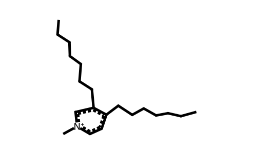 CCCCCCCc1cc[n+](C)cc1CCCCCCC